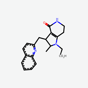 CC1C(Cc2ccc3ccccc3n2)C2=C(CCNC2=O)N1CC(=O)O